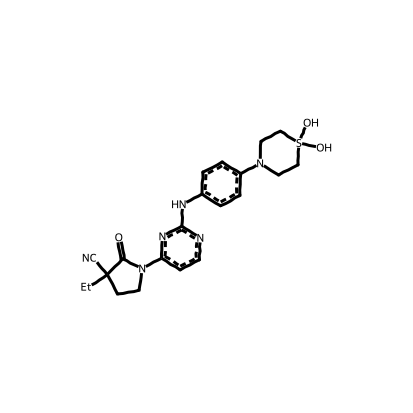 CCC1(C#N)CCN(c2ccnc(Nc3ccc(N4CCS(O)(O)CC4)cc3)n2)C1=O